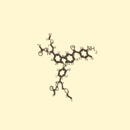 CCOCC/C(=N\OC(C)=O)c1ccc(-n2c3ccc(C(=O)c4ccc(C)c(N)c4)cc3c3cc(/C(CCOCC)=N/OC(C)=O)ccc32)cc1